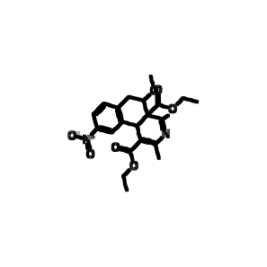 CCOC(=O)C1=C(C)N=C(C)C2(C(=O)OCC)C(OC)Cc3ccc([N+](=O)[O-])cc3C12